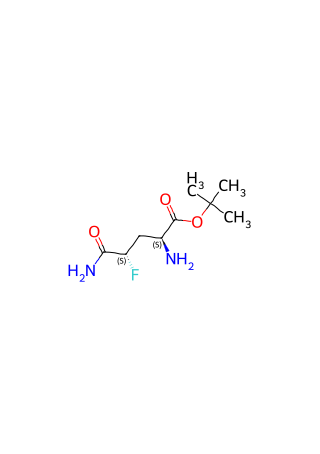 CC(C)(C)OC(=O)[C@@H](N)C[C@H](F)C(N)=O